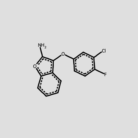 Nc1oc2ccccc2c1Oc1ccc(F)c(Cl)c1